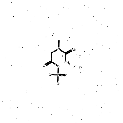 CN(CC(=O)OP(=O)([O-])[O-])C(=N)N.[K+].[K+]